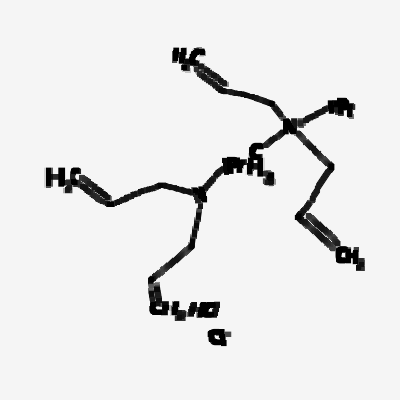 C=CCN(CC=C)C(C)C.C=CC[N+](C)(CC=C)CCC.Cl.[Cl-]